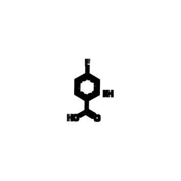 O=C(O)c1ccc(F)cc1.[KH]